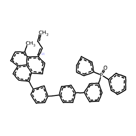 C=C/C=c1/ccc2c(-c3cccc(-c4ccc(-c5cccc(P(=O)(c6ccccc6)c6ccccc6)c5)cc4)c3)ccc3ccc(C)c1c32